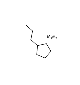 [CH2]CCC1CCCC1.[MgH2]